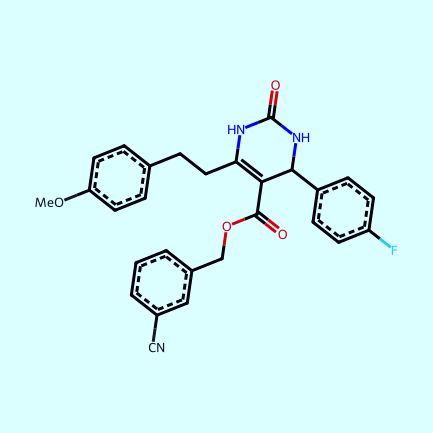 COc1ccc(CCC2=C(C(=O)OCc3cccc(C#N)c3)C(c3ccc(F)cc3)NC(=O)N2)cc1